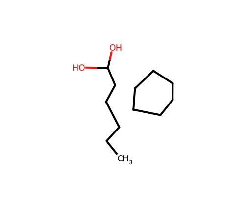 C1CCCCC1.CCCCCC(O)O